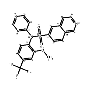 COc1cc(C(F)(F)F)ccc1N(c1ccncn1)S(=O)(=O)c1ccc2cnncc2c1